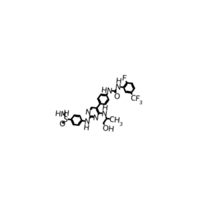 CC(CO)Nc1nc(Nc2ccc([SH](=N)=O)cc2)ncc1-c1ccc(NC(=O)Nc2cc(C(F)(F)F)ccc2F)cc1